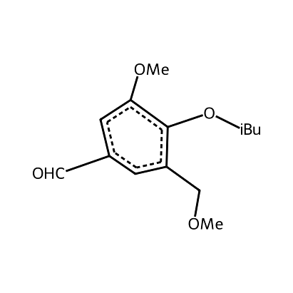 CCC(C)Oc1c(COC)cc(C=O)cc1OC